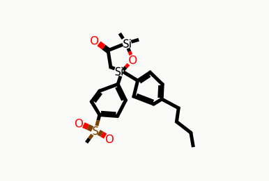 CCCCc1ccc([Si]2(c3ccc(S(C)(=O)=O)cc3)CC(=O)[Si](C)(C)O2)cc1